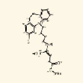 CC(C)(C)OC(=O)C/C=C(/NCCCCN1c2ccccc2CCc2ccc(Cl)cc21)C(=O)O